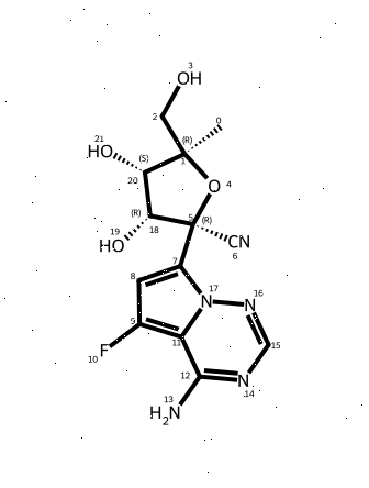 C[C@]1(CO)O[C@@](C#N)(c2cc(F)c3c(N)ncnn23)[C@H](O)[C@@H]1O